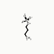 CCCCOS(=O)(=O)F